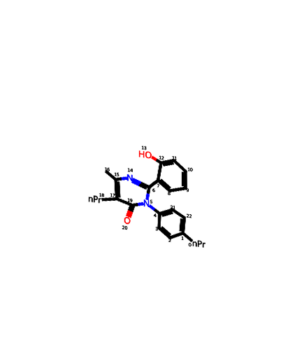 CCCc1ccc(-n2c(-c3ccccc3O)nc(C)c(CCC)c2=O)cc1